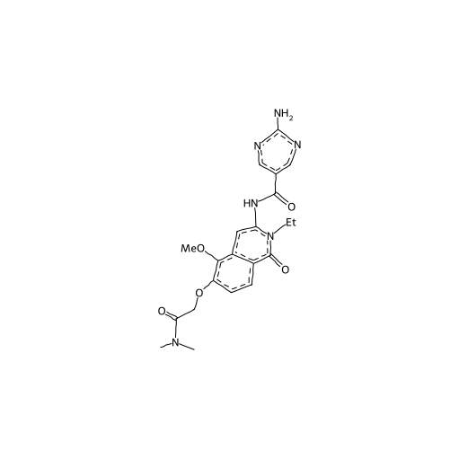 CCn1c(NC(=O)c2cnc(N)nc2)cc2c(OC)c(OCC(=O)N(C)C)ccc2c1=O